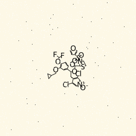 O=C(OC(Cc1c(Cl)c[n+]([O-])cc1Cl)c1ccc(OC(F)F)c(OCC2CC2)c1)C1SCCN1S(=O)(=O)c1ccoc1